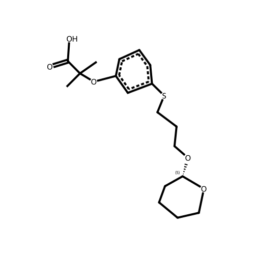 CC(C)(Oc1cccc(SCCCO[C@H]2CCCCO2)c1)C(=O)O